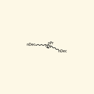 CCCCCCCCCCCCCCCCN1C=CN(CCCCCCCCCCCCCCC)C1CCC